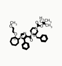 COCCO[C@H]1CCCCCC1n1cnc(C(=O)N2CCN(C(=O)OC(C)(C)C)C[C@H]2Cc2ccccc2)c1-c1ccccc1